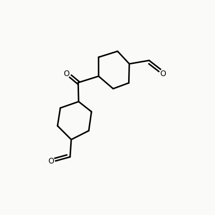 O=CC1CCC(C(=O)C2CCC(C=O)CC2)CC1